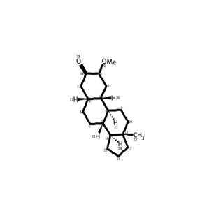 COC1C[C@H]2[C@H](CC[C@@H]3[C@@H]2CC[C@]2(C)CCC[C@@H]32)CC1=O